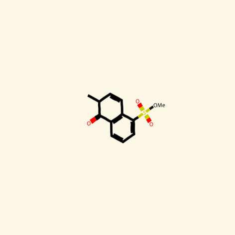 COS(=O)(=O)c1cccc2c1C=CC(C)C2=O